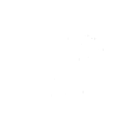 CCOc1cc(B2OC(C)(C)C(C)(C)O2)cc(F)c1C(=O)O